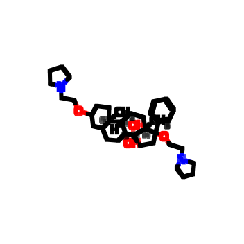 C[C@]12CCC(OCCN3CCCC3)CC1CC[C@]1(O)[C@H]2CC[C@]2(C)C(OCCN3CCCC3)(c3ccccc3)CC[C@@]12O